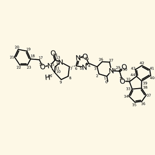 CC1CC(c2nc([C@@H]3CC[C@@H]4CN3C(=O)N4OCc3ccccc3)no2)CCN1C(=O)OC1c2ccccc2-c2ccccc21